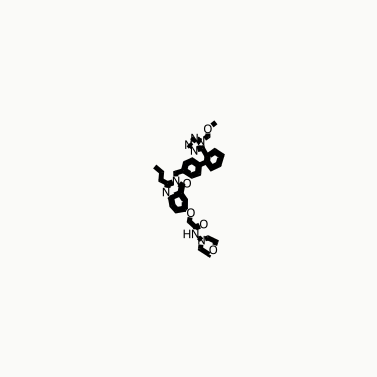 CCCc1nc2ccc(OCC(=O)NN3CCOCC3)cc2c(=O)n1Cc1ccc(-c2ccccc2-c2nnnn2COC)cc1